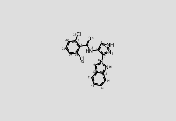 O=C(Nc1c[nH]nc1-n1cc2ccccc2n1)c1c(Cl)cccc1Cl